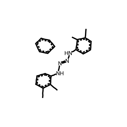 Cc1cccc(NN=NNc2cccc(C)c2C)c1C.c1ccccc1